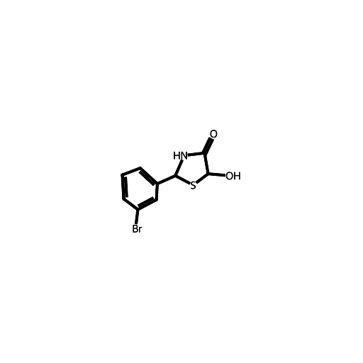 O=C1NC(c2cccc(Br)c2)SC1O